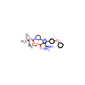 CCOC(=O)c1c(C(=N)N)c(-c2ccc(Oc3ccccc3)cc2)nn1C1CCCN(C(=O)OC(C)(C)C)C1